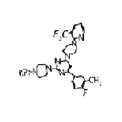 CCCN1CCN(c2nc(-c3ccc(F)c(C)c3)cc(N3CCN(c4ncccc4C(F)(F)F)CC3)n2)CC1